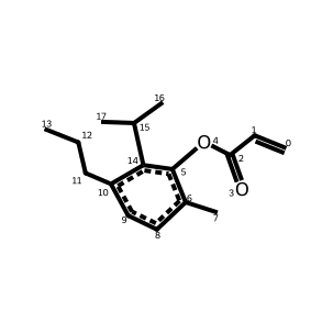 C=CC(=O)Oc1c(C)ccc(CCC)c1C(C)C